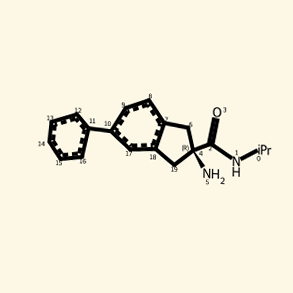 CC(C)NC(=O)[C@@]1(N)Cc2ccc(-c3ccccc3)cc2C1